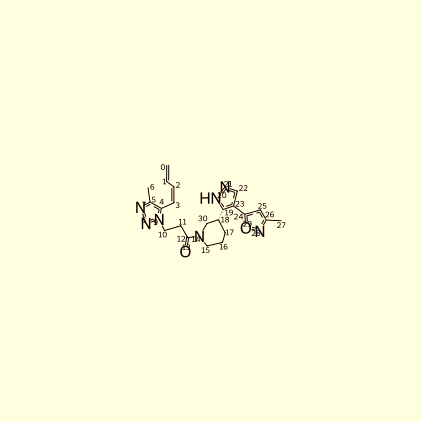 C=C/C=C\c1c(C)nnn1CCC(=O)N1CCC[C@@H](c2[nH]ncc2-c2cc(C)no2)C1